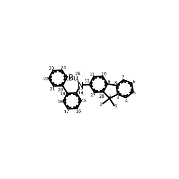 CC1(C)c2ccccc2-c2ccc(N(c3ccccc3-c3ccccc3)C(C)(C)C)cc21